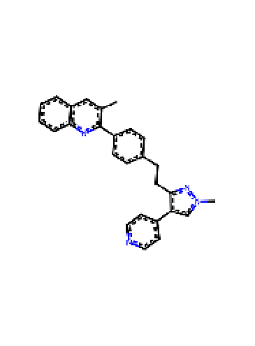 Cc1cc2ccccc2nc1-c1ccc(CCc2nn(C)cc2-c2ccncc2)cc1